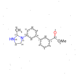 COC(=O)c1cccc(-c2cccc(N3CCNC3C)c2)c1